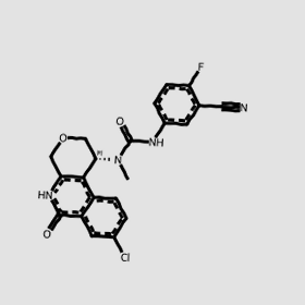 CN(C(=O)Nc1ccc(F)c(C#N)c1)[C@H]1COCc2[nH]c(=O)c3cc(Cl)ccc3c21